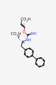 N=C(N[C@@H](CC(=O)O)Cc1ccc(-c2ccccc2)cc1)O/C=C/C(=O)O